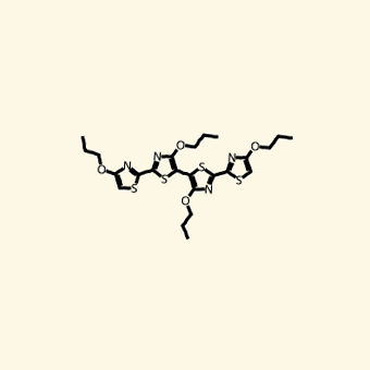 CCCOc1csc(-c2nc(OCCC)c(-c3sc(-c4nc(OCCC)cs4)nc3OCCC)s2)n1